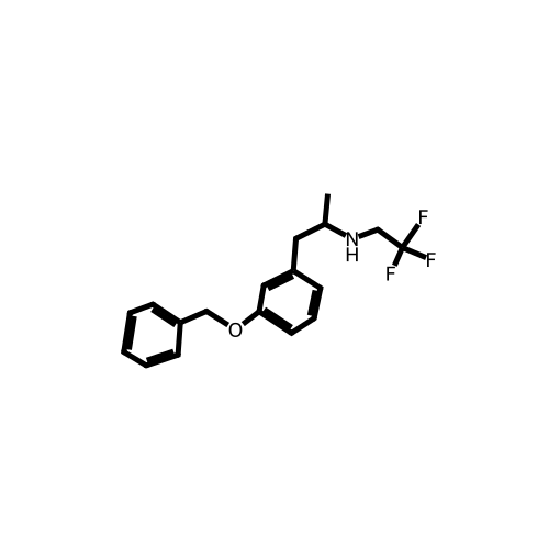 CC(Cc1cccc(OCc2ccccc2)c1)NCC(F)(F)F